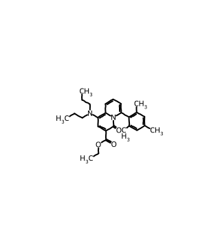 CCCN(CCC)c1cc(C(=O)OCC)c(=O)n2c(-c3c(C)cc(C)cc3C)cccc12